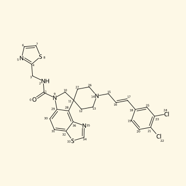 O=C(NCc1nccs1)N1CC2(CCN(CC=Cc3ccc(Cl)c(Cl)c3)CC2)c2c1ccc1scnc21